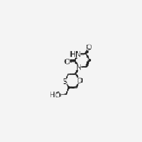 O=c1ccn(C2CSC(CO)CO2)c(=O)[nH]1